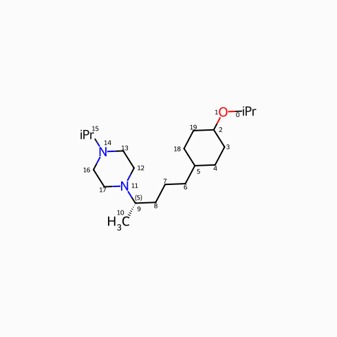 CC(C)OC1CCC(CCC[C@H](C)N2CCN(C(C)C)CC2)CC1